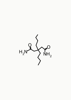 CCCCC(CCCC)(CC(N)=O)CC(N)=O